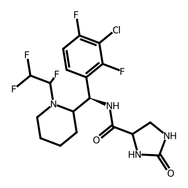 O=C1NCC(C(=O)N[C@H](c2ccc(F)c(Cl)c2F)C2CCCCN2C(F)C(F)F)N1